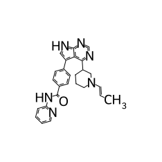 CC=CN1CCCC(c2ncnc3[nH]cc(-c4ccc(C(=O)Nc5ccccn5)cc4)c23)C1